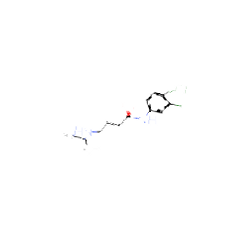 CCC(C)C(C)NCCCC(=O)Nc1ccc(Cl)c(Cl)c1